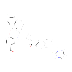 COC(=O)c1ccc2c(c1)N(C[C@@H]1CC[C@H]1C(=O)/C=C/[C@@H]1CCC[C@H](Sc3ncccn3)[C@H]1C)C[C@@]1(CCCc3cc(Cl)ccc31)CO2